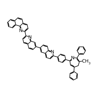 CC1=C(c2ccccc2)N=C(c2ccc(-c3ccc4cc(-c5ccc6ccc(-c7ccc8ccc9ccccc9c8n7)nc6c5)ccc4n3)cc2)C=C(c2ccccc2)C1